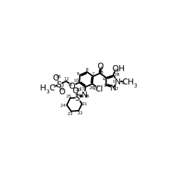 Cn1ncc(C(=O)c2ccc(OCS(C)(=O)=O)c(N=S3(=O)CCCCC3)c2Cl)c1O